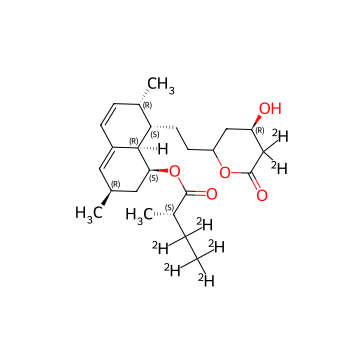 [2H]C1([2H])C(=O)OC(CC[C@@H]2[C@@H]3C(=C[C@H](C)C[C@@H]3OC(=O)[C@@H](C)C([2H])([2H])C([2H])([2H])[2H])C=C[C@@H]2C)C[C@H]1O